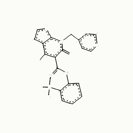 O=c1c(C2=NS(O)(O)c3ccccc3N2)c(O)c2ccsc2n1Cc1ccncc1